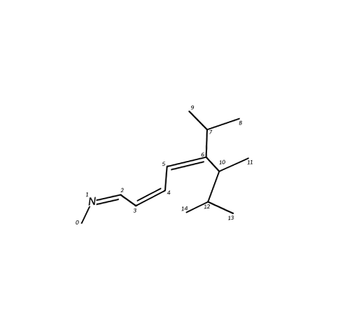 C/N=C\C=C/C=C(C(C)C)C(C)C(C)C